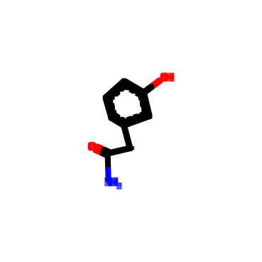 NC(=O)[CH]c1cccc(O)c1